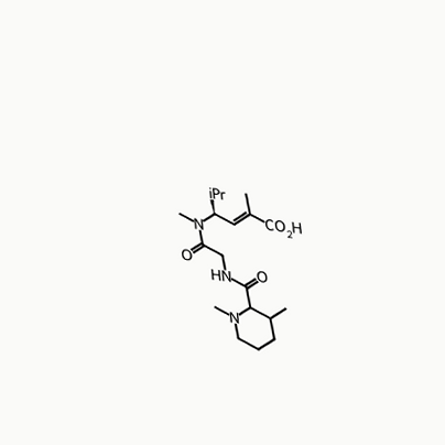 C/C(=C\[C@H](C(C)C)N(C)C(=O)CNC(=O)C1C(C)CCCN1C)C(=O)O